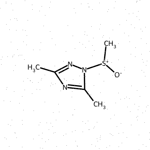 Cc1nc(C)n([S+](C)[O-])n1